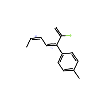 C=C(F)/C(=C\C=C/C)c1ccc(C)cc1